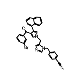 N#Cc1ccc(Cn2cncc2Cn2cc(C(=O)c3cccc(Br)c3)c(-c3cccc4ccccc34)c2)cc1